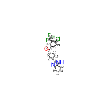 O=C(c1ccc(-c2nc3ccccc3[nH]2)cc1)c1ccc(Cl)c(C(F)(F)F)c1